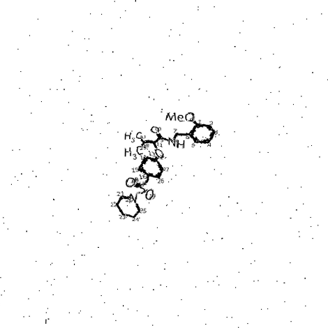 COc1ccccc1CNC(=O)C(Oc1ccc(S(=O)(=O)N2CCCCC2)cc1)=C(C)C